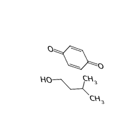 CC(C)CCO.O=C1C=CC(=O)C=C1